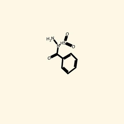 NN(C(=O)c1ccccc1)[SH](=O)=O